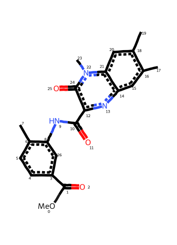 COC(=O)c1ccc(C)c(NC(=O)c2nc3cc(C)c(C)cc3n(C)c2=O)c1